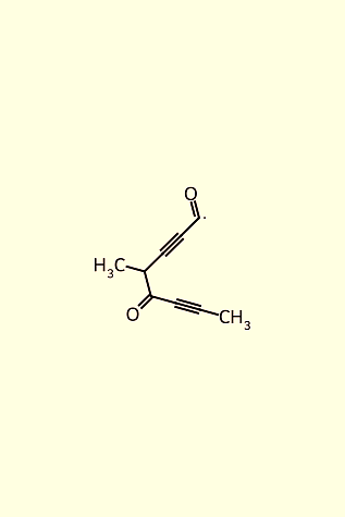 CC#CC(=O)C(C)C#C[C]=O